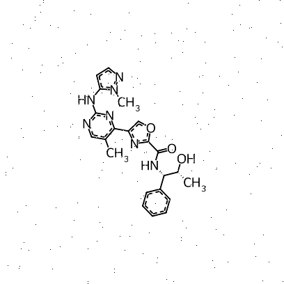 Cc1cnc(Nc2ccnn2C)nc1-c1coc(C(=O)N[C@@H](c2ccccc2)[C@@H](C)O)n1